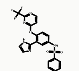 O=S(=O)(Nc1ccc(Oc2ccnc(C(F)(F)F)n2)c(-c2ncc[nH]2)c1)c1ccccc1